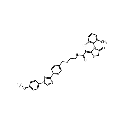 CCc1cccc(C)c1N1C(=O)CS/C1=N\C(=O)NCCCCc1ccc(-c2ncn(-c3ccc(OC(F)(F)F)cc3)n2)cc1